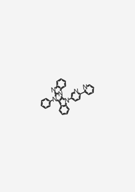 c1ccc(-n2c3c4ccccc4n(-c4ccc(-c5ccccn5)nc4)c3n3c4ccccc4nc23)cc1